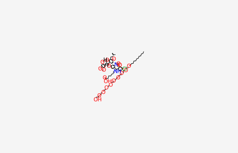 C=C(C)[C@H]1Cc2c(ccc3c2O[C@@H]2COc4cc(OC)c(OC)cc4[C@@H]2C3=O)O1.CCCCCCCCCCCCOCCOCCOCCOCCOCCOCCOCCOCCOCCO.CN1c2ccccc2C(NCCCCCCC(=O)O)c2ccc(Cl)cc2S1(=O)=O